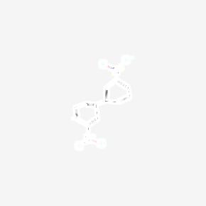 O=[N+]([O-])c1[c]ccc(-c2cccc([N+](=O)[O-])c2)c1